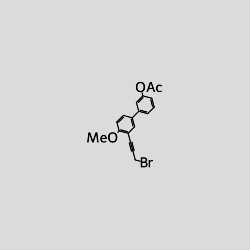 COc1ccc(-c2cccc(OC(C)=O)c2)cc1C#CCBr